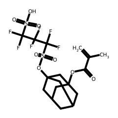 C=C(C)C(=O)OC12CC3CC(C1)CC(OS(=O)(=O)C(F)(F)C(F)(F)C(F)(F)S(=O)(=O)O)(C3)C2